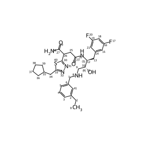 CCc1cccc(CNC[C@@H](O)[C@H](Cc2cc(F)cc(F)c2)NC(=O)CC(C(N)=O)c2nnc(CC3CCCC3)s2)c1